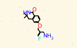 CC1(C)Cc2cc(OC/C(=C/F)CN)ccc2C(=O)N1